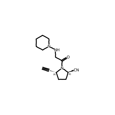 C#C[C@H]1CC[C@H](C#N)N1C(=O)CNN1CCCCC1